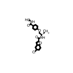 CC[C@@H](COc1ccc(C(=O)NO)cc1)NC(=O)c1cc2cc(Cl)ccc2o1